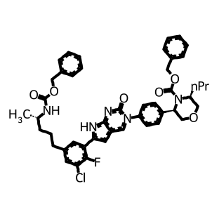 CCC[C@H]1COC[C@@H](c2ccc(-n3cc4cc(-c5cc(CCC[C@H](C)NC(=O)OCc6ccccc6)cc(Cl)c5F)[nH]c4nc3=O)cc2)N1C(=O)OCc1ccccc1